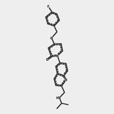 CC(C)NCc1ccc2cc(-n3ccc(OCc4ccc(F)cc4)cc3=O)ccc2n1